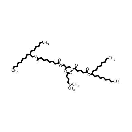 CCCCCCCCC(CCCCCC)COC(=O)CCCCCCC(=O)OCC(COC(=O)CCCC(=O)OC(CCCCCCCC)CCCCCCCC)OC(=O)CCCN(C)C